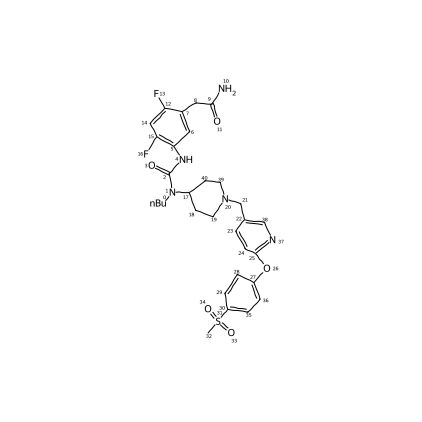 CCCCN(C(=O)Nc1cc(CC(N)=O)c(F)cc1F)C1CCN(Cc2ccc(Oc3ccc(S(C)(=O)=O)cc3)nc2)CC1